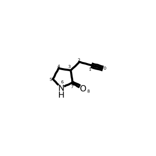 C#CCC1CCNC1=O